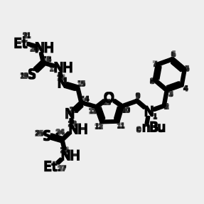 CCCCN(Cc1ccccc1)Cc1ccc(C(/C=N/NC(=S)NCC)=N\NC(=S)NCC)o1